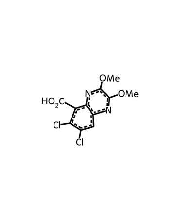 COc1nc2cc(Cl)c(Cl)c(C(=O)O)c2nc1OC